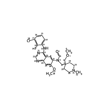 COCC1(CN(C=O)c2cc3c(Nc4cccc(Cl)c4F)ncnc3cc2OC)CCN(C)CC1